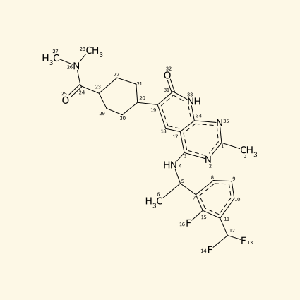 Cc1nc(NC(C)c2cccc(C(F)F)c2F)c2cc(C3CCC(C(=O)N(C)C)CC3)c(=O)[nH]c2n1